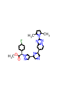 COC(=O)[C@@H](c1ccc(F)cc1)n1cc(-c2cncc(-c3ccn4nc(-n5c(C)ccc5C)nc4c3)n2)cn1